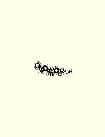 O=S(=O)(CCO)c1ccc(Oc2c(Br)sc3c2ccc2c3cnn2C2CCCCO2)cc1